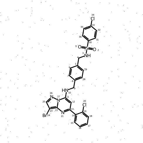 O=S(=O)(NCc1ccc(CNc2cc(-c3ccccc3Cl)nc3c(Br)cnn23)cc1)c1ccc(Cl)cc1